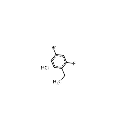 CCc1ccc(Br)cc1F.Cl